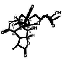 CCCCC[C@@H]1CC2OC(=O)[C@@]34O[C@@H]5OC(=O)[C@H](OCC(=O)O)C15[C@@]23[C@@H](O)[C@@H]1OC(=O)C(C)C14